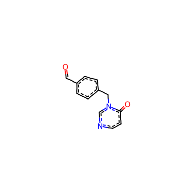 O=Cc1ccc(Cn2cnccc2=O)cc1